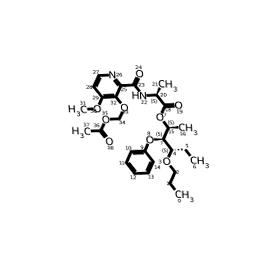 CCCO[C@@H](CC)[C@@H](Oc1ccccc1)[C@H](C)OC(=O)[C@H](C)NC(=O)c1nccc(OC)c1OCOC(C)=O